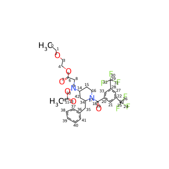 CCOCCOC(=O)CN(OC(C)=O)C1CCN(C(=O)c2cc(C(F)(F)F)cc(C(F)(F)F)c2)C(Cc2ccccc2)C1